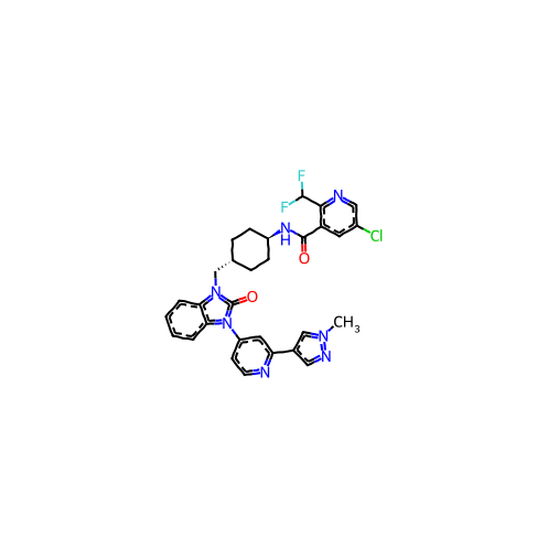 Cn1cc(-c2cc(-n3c(=O)n(C[C@H]4CC[C@H](NC(=O)c5cc(Cl)cnc5C(F)F)CC4)c4ccccc43)ccn2)cn1